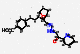 O=C(O)c1ccc(CCC2C3CCC(O3)C2/C=N/NCC(=O)c2ccccn2)cc1